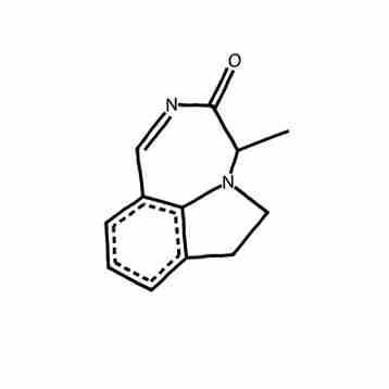 CC1C(=O)N=Cc2cccc3c2N1CC3